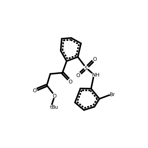 CC(C)(C)OC(=O)CC(=O)c1ccccc1S(=O)(=O)Nc1ccccc1Br